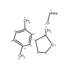 CC1CCCO1.CCCCCCCl.Cc1ccc(C)cc1